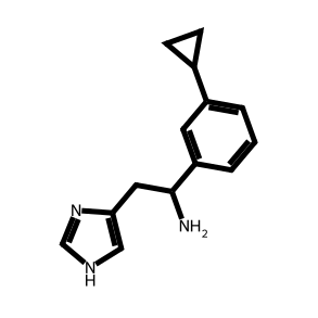 NC(Cc1c[nH]cn1)c1cccc(C2CC2)c1